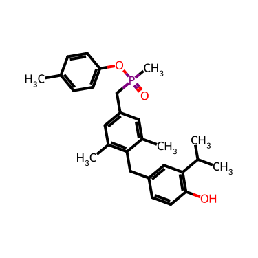 Cc1ccc(OP(C)(=O)Cc2cc(C)c(Cc3ccc(O)c(C(C)C)c3)c(C)c2)cc1